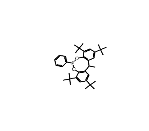 CC1c2cc(C(C)(C)C)cc(C(C)(C)C)c2OP(c2ccccc2)Oc2c1cc(C(C)(C)C)cc2C(C)(C)C